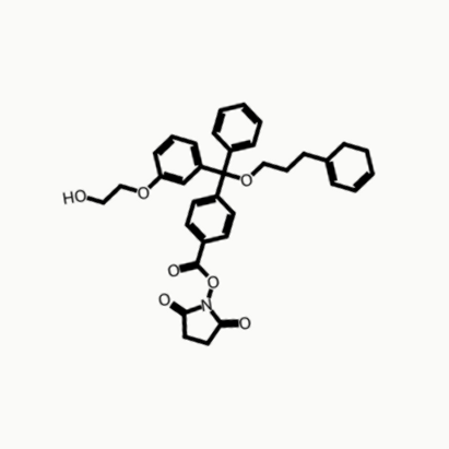 O=C(ON1C(=O)CCC1=O)c1ccc(C(OCCCC2=CC=CCC2)(c2ccccc2)c2cccc(OCCO)c2)cc1